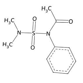 CC(=O)N(c1ccccc1)S(=O)(=O)N(C)C